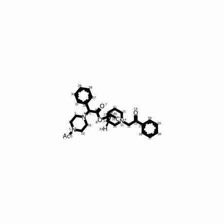 CC(=O)N1CCN(C(C(=O)O[C@H]2C[N+]3(CC(=O)c4ccccc4)CCC2CC3)c2ccccc2)CC1